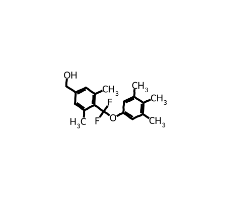 Cc1cc(OC(F)(F)c2c(C)cc(CO)cc2C)cc(C)c1C